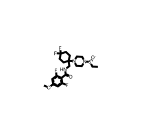 CC[S+]([O-])N1CCN(C2(CNC(=O)c3c(F)cc(OC)cc3F)CCC(F)(F)CC2)CC1